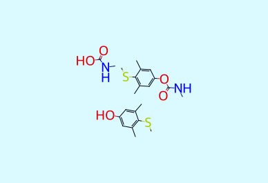 CNC(=O)O.CNC(=O)Oc1cc(C)c(SC)c(C)c1.CSc1c(C)cc(O)cc1C